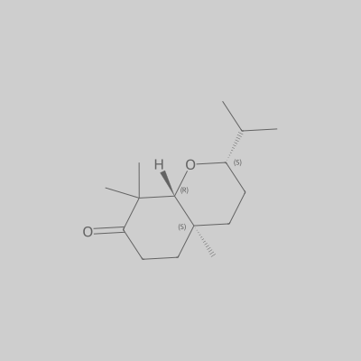 CC(C)[C@@H]1CC[C@@]2(C)CCC(=O)C(C)(C)[C@@H]2O1